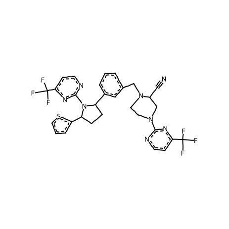 N#CC1CN(c2nccc(C(F)(F)F)n2)CCN1Cc1cccc(C2CCC(c3cccs3)N2c2nccc(C(F)(F)F)n2)c1